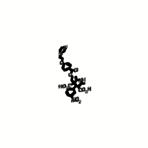 CC1=C(C(=O)O)C(c2cccc([N+](=O)[O-])c2)C(CCOC(=O)c2ccc(OCCn3ccnc3)cc2)(C(=O)O)C(C)N1